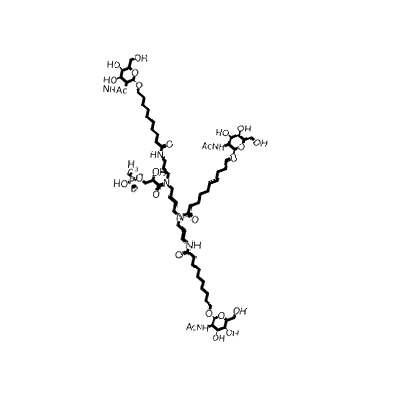 CC(=O)NC1[C@H](OCCCCCCCCCC(=O)NCCCN(CCCCN(CCCNC(=O)CCCCCCCCCO[C@@H]2OC(CO)[C@H](O)[C@H](O)C2NC(C)=O)C(=O)C(O)COP(C)(=O)O)C(=O)CCCCCCCCCO[C@@H]2OC(CO)[C@H](O)[C@H](O)C2NC(C)=O)OC(CO)[C@H](O)[C@@H]1O